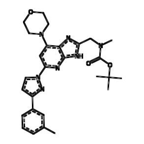 Cc1cccc(-c2ccn(-c3cc(N4CCOCC4)c4nc(CN(C)C(=O)OC(C)(C)C)[nH]c4n3)n2)c1